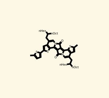 CCCCCCCCC(CCCCCC)CC1=CN2C(=O)C3=C4c5sc(-c6ccc(C)s6)cc5C(CC(CCCCCC)CCCCCCCC)=CN4C(=O)C3=C2c2sc(C)cc21